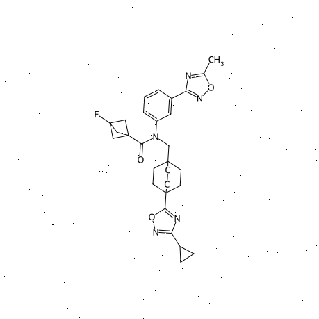 Cc1nc(-c2cccc(N(CC34CCC(c5nc(C6CC6)no5)(CC3)CC4)C(=O)C34CC(F)(C3)C4)c2)no1